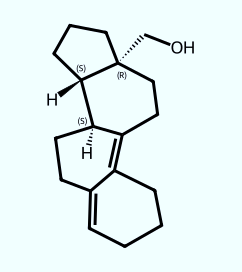 OC[C@@]12CCC[C@H]1[C@@H]1CCC3=CCCCC3=C1CC2